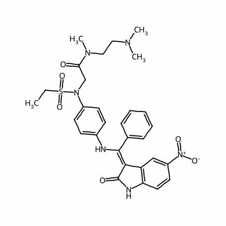 CCS(=O)(=O)N(CC(=O)N(C)CCN(C)C)c1ccc(N/C(=C2\C(=O)Nc3ccc([N+](=O)[O-])cc32)c2ccccc2)cc1